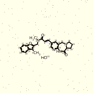 Cc1c(CN(C)C(=O)/C=C/c2cnc3c(c2)CN2CCCC2C(=O)N3)oc2ccccc12.Cl